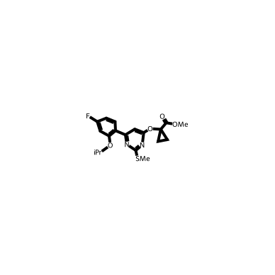 COC(=O)C1(Oc2cc(-c3ccc(F)cc3OC(C)C)nc(SC)n2)CC1